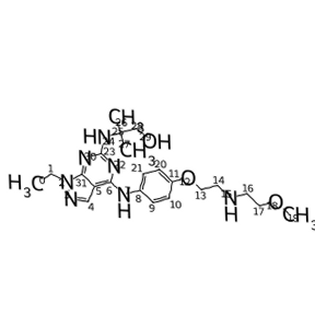 CCn1ncc2c(Nc3ccc(OCCNCCOC)cc3)nc(NC(C)(C)CO)nc21